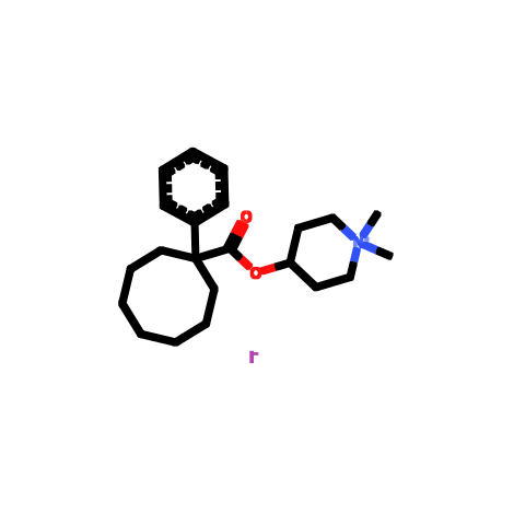 C[N+]1(C)CCC(OC(=O)C2(c3ccccc3)CCCCCCC2)CC1.[I-]